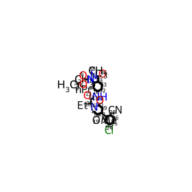 CCCC(C)(C)OC(=O)n1c2cc(NC(=O)C(CC)n3cc(OC)c(-c4cc(Cl)ccc4C#N)cc3=O)ccc2c(=O)n1C